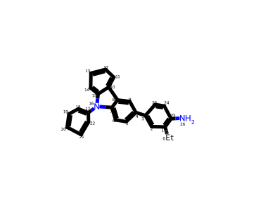 CCc1cc(-c2ccc3c(c2)c2ccccc2n3-c2ccccc2)ccc1N